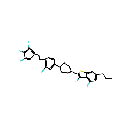 CCCc1cc(F)c2c(F)c(C3CCC(c4ccc(CCc5cc(F)c(F)c(F)c5)c(F)c4)CC3)sc2c1